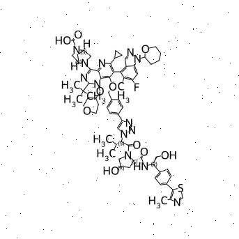 Cc1ncsc1-c1ccc([C@H](CO)NC(=O)[C@@H]2C[C@@H](O)CN2C(=O)[C@H](C(C)C)n2cc(-c3ccc(COc4c(-c5c(C)c(F)cc6c5cnn6C5CCCCO5)c(C5CC5)nc5c4N(OC4CCOCC4)C(C(C)(C)C)N=C5N4C[C@@H]5C[C@H]4CN5C(=O)O)cc3)nn2)cc1